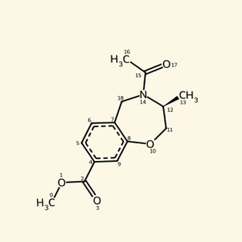 COC(=O)c1ccc2c(c1)OC[C@H](C)N(C(C)=O)C2